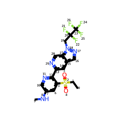 CCS(=O)(=O)c1cc(NC)cnc1-c1cc2cnn(CC(F)(F)C(F)(F)F)c2cn1